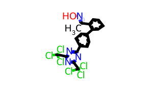 C/C(=N\O)c1ccccc1-c1ccc(-c2nc(C(Cl)(Cl)Cl)nc(C(Cl)(Cl)Cl)n2)cc1